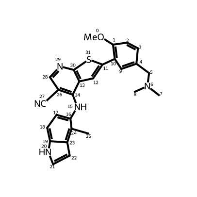 COc1ccc(CN(C)C)cc1-c1cc2c(Nc3ccc4[nH]ccc4c3C)c(C#N)cnc2s1